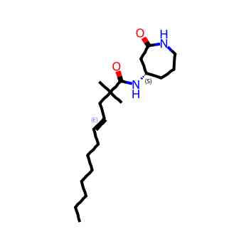 CCCCCCC/C=C/CC(C)(C)C(=O)N[C@H]1CCCNC(=O)C1